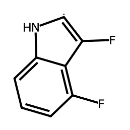 Fc1[c][nH]c2cccc(F)c12